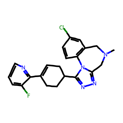 CN1Cc2cc(Cl)ccc2-n2c(nnc2C2CC=C(c3ncccc3F)CC2)C1